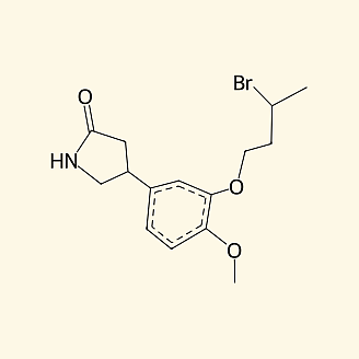 COc1ccc(C2CNC(=O)C2)cc1OCCC(C)Br